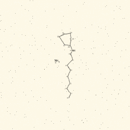 CCCCCCCCCNC1CCCCC1.N